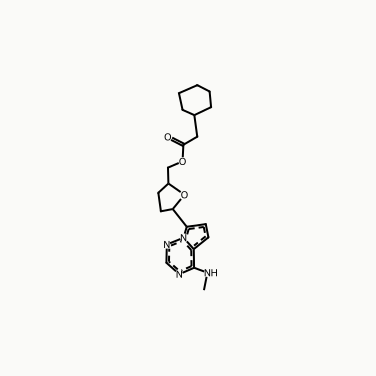 CNc1ncnn2c(C3CCC(COC(=O)CC4CCCCC4)O3)ccc12